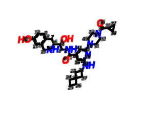 O=C(NC[C@@H](O)[C@@H]1Cc2ccc(O)cc2CN1)c1cc(NC2CC3(CCC3)C2)nc(N2CCN(C(=O)C3CC3)CC2)c1